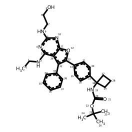 CCNc1nc(NCCO)nc2oc(-c3ccc(C4(NC(=O)OC(C)(C)C)CCC4)cc3)c(-c3ccccc3)c12